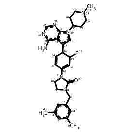 Cc1cc(C)cc(CN2CCN(C3=CC(F)C(c4cn(C5CCN(C)CC5)c5ncnc(N)c45)C=C3)C2=O)c1